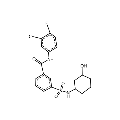 O=C(Nc1ccc(F)c(Cl)c1)c1cccc(S(=O)(=O)NC2CCCC(O)C2)c1